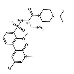 COc1c(-c2cc(Cl)cn(C)c2=O)cccc1S(=O)(=O)N[C@@H](CN)C(=O)N1CCN(C(C)C)CC1